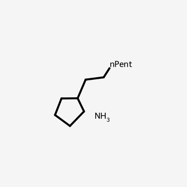 CCCCCCCC1CCCC1.N